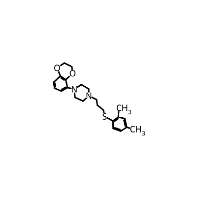 Cc1ccc(SCCCN2CCN(c3cccc4c3OCCO4)CC2)c(C)c1